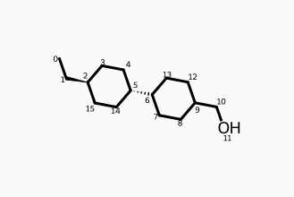 CC[C@H]1CC[C@H](C2CCC(CO)CC2)CC1